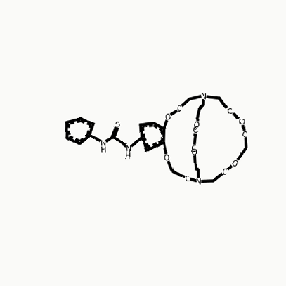 S=C(Nc1ccccc1)Nc1ccc2c(c1)OCCN1CCOCCOCCN(CCOCCOCC1)CCO2